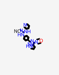 N#C/N=C(\Nc1ccc(C(=N)/N=C(\c2ccc[nH]2)N2CCOCC2)cc1)Nc1cccnc1